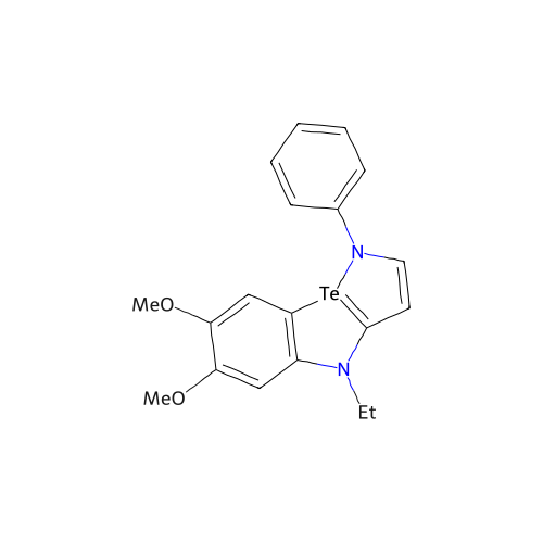 CCN1C2=[Te](c3cc(OC)c(OC)cc31)N(c1ccccc1)C=C2